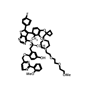 COCCOCCOCCN1CCN(CC2(Oc3ccc(-c4c(-c5ccc(F)cc5)sc5ncnc(O[C@H](Cc6cc(O)ccc6OCc6ccnc(-c7ccccc7OC)n6)C(=O)O)c45)c(C)c3Cl)CCC2)CC1